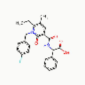 CCc1c(C)cc(C(=O)NC(C(=O)O)c2ccccc2)c(=O)n1Cc1ccc(F)cc1